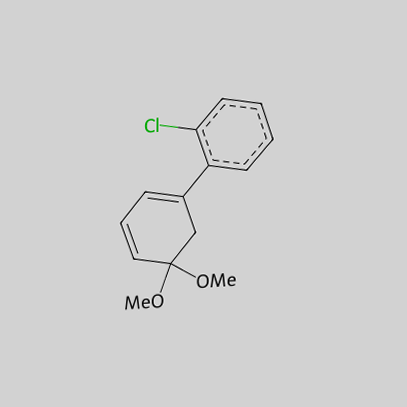 COC1(OC)C=CC=C(c2ccccc2Cl)C1